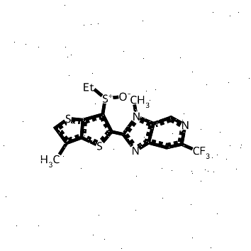 CC[S+]([O-])c1c(-c2nc3cc(C(F)(F)F)ncc3n2C)sc2c(C)csc12